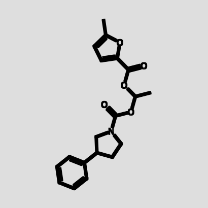 Cc1ccc(C(=O)OC(C)OC(=O)N2CCC(c3ccccc3)C2)o1